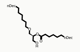 CCCCCCCCCCCCCCCCOC[C@H](CO)OC(=O)CCCCCCCCCCCCCCC